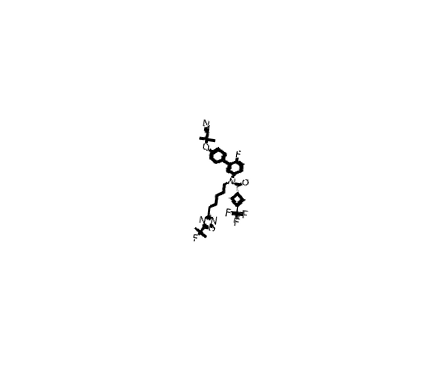 CC(C)(C#N)Oc1ccc(-c2cc(N(CCCCCc3noc(C(C)(C)F)n3)C(=O)[C@H]3C[C@H](C(F)(F)F)C3)ccc2F)cc1